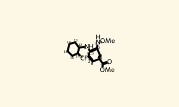 CONc1cc(C(=O)OC)ccc1NC1CCCCC1C(F)(F)F